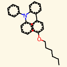 CCCCCCOc1ccc(-c2ccccc2N(c2ccccc2)c2ccccc2)cc1